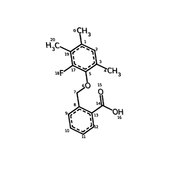 Cc1cc(C)c(OCc2ccccc2C(=O)O)c(F)c1C